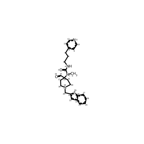 CN(C(=O)NCCCc1ccncc1)C1(C=O)CCN(Cc2cc3ccccc3s2)CC1